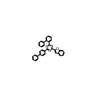 c1ccc(-c2ccc(-c3nc(-c4cc5ccccc5o4)nc(-c4ccccc4-c4ccccc4)n3)cc2)cc1